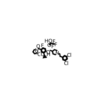 O=C(O)C(F)(F)F.O=C(O)[C@@H]1CCCN1C(=O)c1cc(C2CC2)c(OCC2CCN(CCc3cc(Cl)cc(Cl)c3)CC2)cc1F